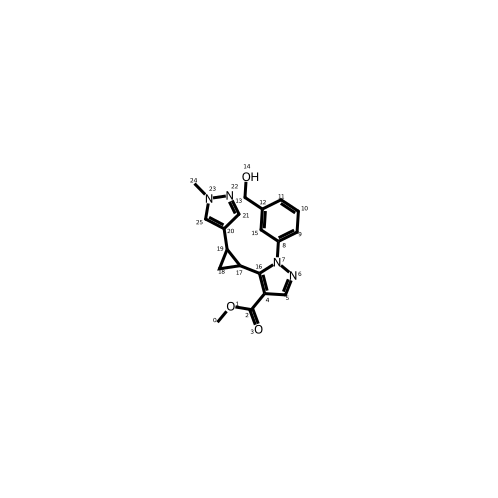 COC(=O)c1cnn(-c2cccc(CO)c2)c1C1CC1c1cnn(C)c1